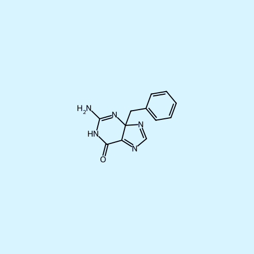 NC1=NC2(Cc3ccccc3)N=CN=C2C(=O)N1